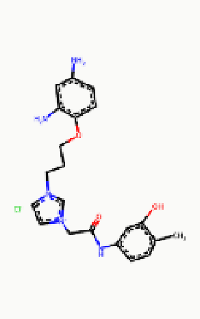 Cc1ccc(NC(=O)C[n+]2ccn(CCCOc3ccc(N)cc3N)c2)cc1O.[Cl-]